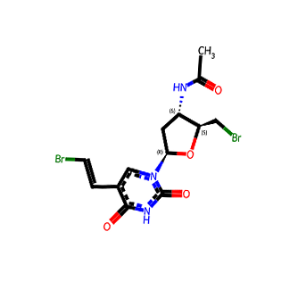 CC(=O)N[C@H]1C[C@H](n2cc(C=CBr)c(=O)[nH]c2=O)O[C@@H]1CBr